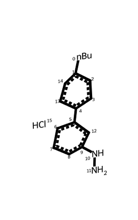 CCCCc1ccc(-c2cccc(NN)c2)cc1.Cl